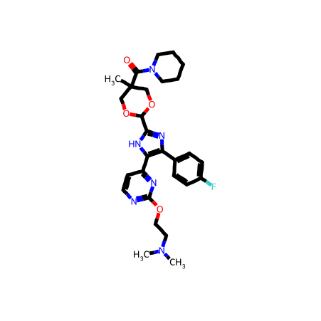 CN(C)CCOc1nccc(-c2[nH]c(C3OCC(C)(C(=O)N4CCCCC4)CO3)nc2-c2ccc(F)cc2)n1